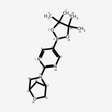 CC1(C)OB(c2cnc(N3CC4CC3CO4)nc2)OC1(C)C